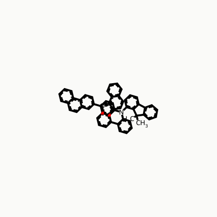 CC1(C)c2ccccc2-c2cccc(N(c3ccc(-c4ccc5c(ccc6ccccc65)c4)cc3)c3ccccc3-c3cccc4oc5c6ccccc6ccc5c34)c21